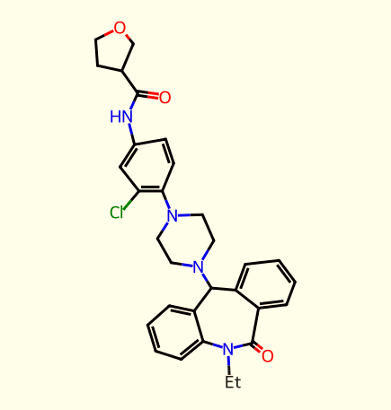 CCN1C(=O)c2ccccc2C(N2CCN(c3ccc(NC(=O)C4CCOC4)cc3Cl)CC2)c2ccccc21